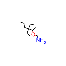 CCCC(CC)(CC)C(C)OCN